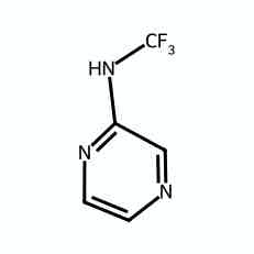 FC(F)(F)Nc1cnccn1